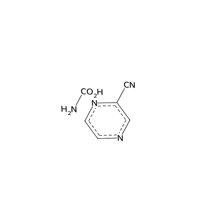 N#Cc1cnccn1.NC(=O)O